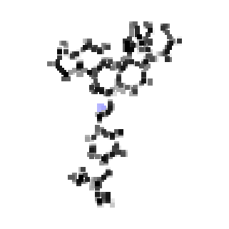 CN(C)Cc1ccc(/C=C/C(=O)N2CCC3=C4C=CC=C[C@H]4NC3=C2c2ccc3c(c2)CCO3)cn1